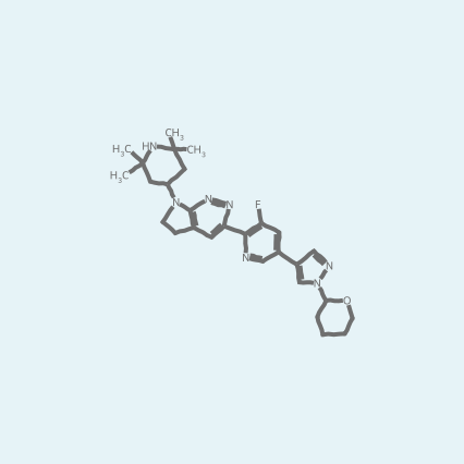 CC1(C)CC(N2CCc3cc(-c4ncc(-c5cnn(C6CCCCO6)c5)cc4F)nnc32)CC(C)(C)N1